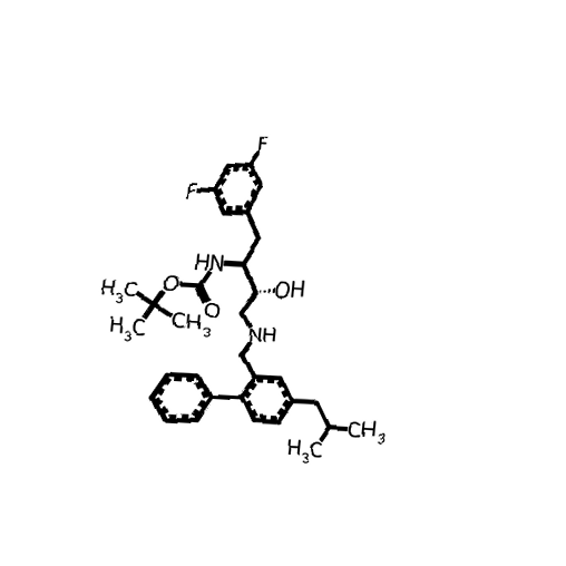 CC(C)Cc1ccc(-c2ccccc2)c(CNC[C@@H](O)C(Cc2cc(F)cc(F)c2)NC(=O)OC(C)(C)C)c1